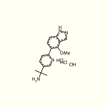 COc1c(-c2ccc(C(C)(C)N)cn2)ccc2[nH]ncc12.Cl.Cl.Cl